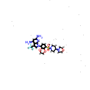 Nc1cc(N)c2c(C(F)(F)F)cn(-c3ccc(S(=O)(=O)N4CCC(N5CCOCC5)CC4)c4c3OCCO4)c2n1